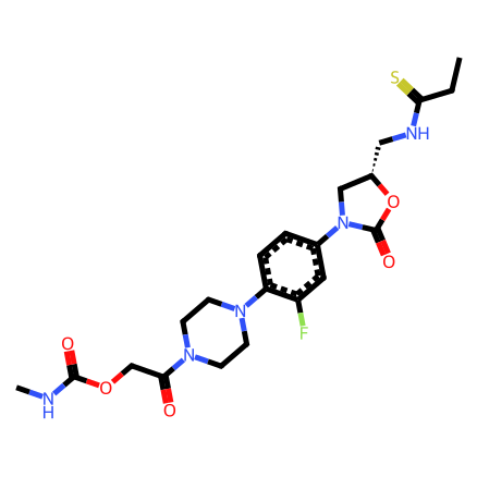 CCC(=S)NC[C@H]1CN(c2ccc(N3CCN(C(=O)COC(=O)NC)CC3)c(F)c2)C(=O)O1